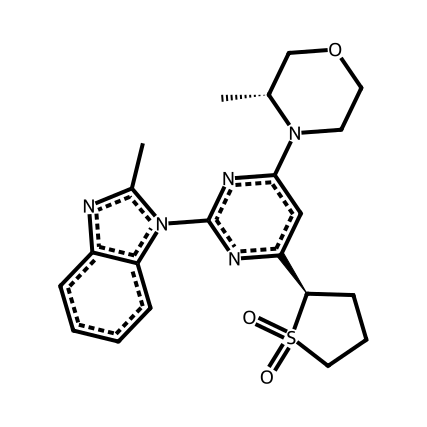 Cc1nc2ccccc2n1-c1nc([C@H]2CCCS2(=O)=O)cc(N2CCOC[C@H]2C)n1